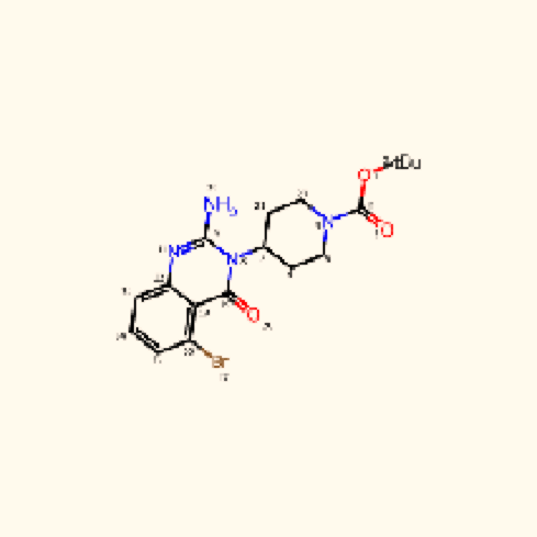 CC(C)(C)OC(=O)N1CCC(n2c(N)nc3cccc(Br)c3c2=O)CC1